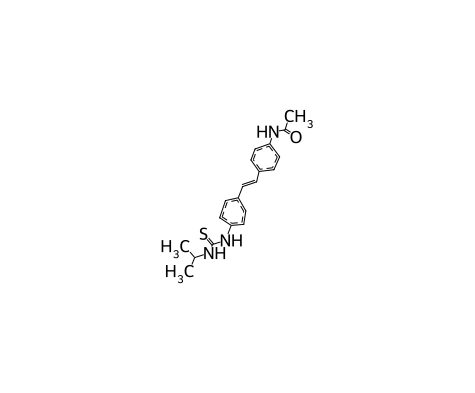 CC(=O)Nc1ccc(C=Cc2ccc(NC(=S)NC(C)C)cc2)cc1